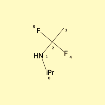 CC(C)NC(C)(F)F